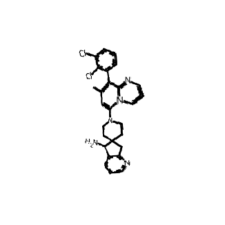 CC1=C(c2cccc(Cl)c2Cl)C2=NC=C=CN2C(N2CCC3(CC2)Cc2ncccc2C3N)=C1